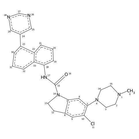 CN1CCN(c2cc3c(cc2Cl)CCN3C(=O)Nc2cccc3c(-c4cncnc4)cccc23)CC1